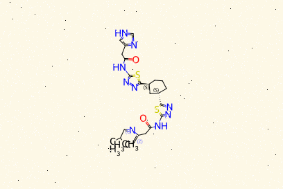 C/C=C(CC(=O)Nc1nnc([C@H]2CCC[C@H](c3nnc(NC(=O)Cc4c[nH]cn4)s3)C2)s1)\N=C/C(C)C